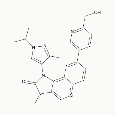 Cc1nn(C(C)C)cc1-n1c(=O)n(C)c2cnc3ccc(-c4ccc(CO)nc4)cc3c21